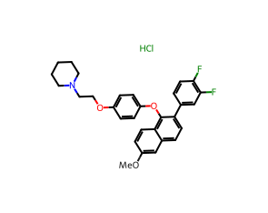 COc1ccc2c(Oc3ccc(OCCN4CCCCC4)cc3)c(-c3ccc(F)c(F)c3)ccc2c1.Cl